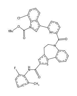 Cc1cccc(F)c1NC(=O)c1cc2c(s1)-c1ccccc1N(C(=O)c1cccc(-c3cn(C(=O)OC(C)(C)C)c4c(Cl)cccc34)n1)CC2